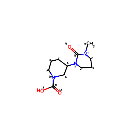 CN1CCCN(C2CCCN(C(=O)O)C2)C1=O